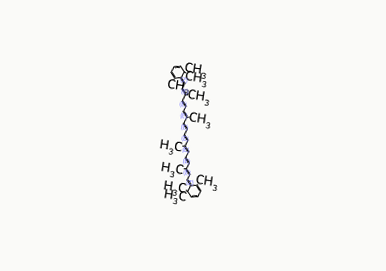 CC1=CC=CC(C)(C)/C1=C/C=C(C)/C=C/C=C(C)/C=C/C=C/C(C)=C/C=C/C(C)=C/C=C1\C(C)=CC=CC1(C)C